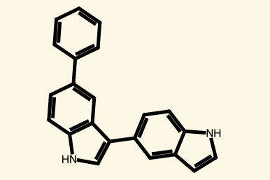 c1ccc(-c2ccc3[nH]cc(-c4ccc5[nH]ccc5c4)c3c2)cc1